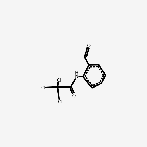 O=Cc1ccccc1NC(=O)C(Cl)(Cl)Cl